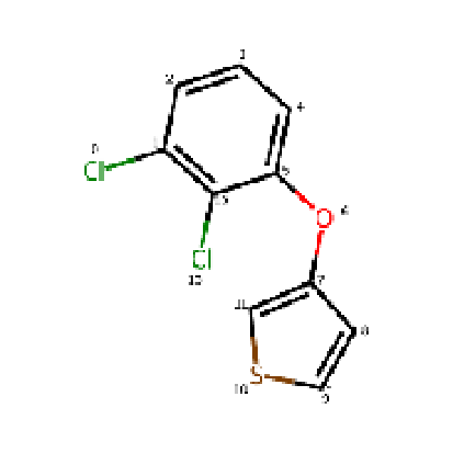 Clc1cccc(Oc2c[c]sc2)c1Cl